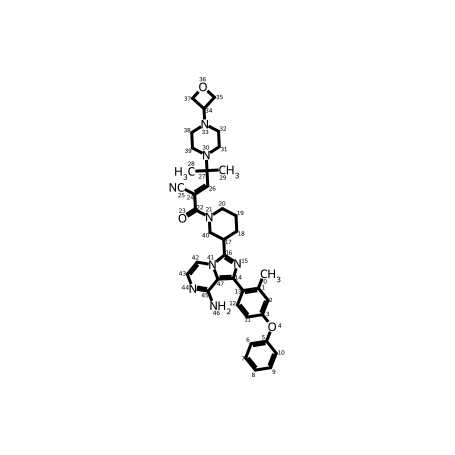 Cc1cc(Oc2ccccc2)ccc1-c1nc(C2CCCN(C(=O)C(C#N)=CC(C)(C)N3CCN(C4COC4)CC3)C2)n2ccnc(N)c12